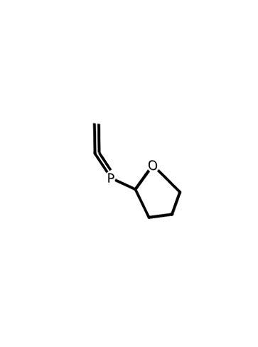 C=C=PC1CCCO1